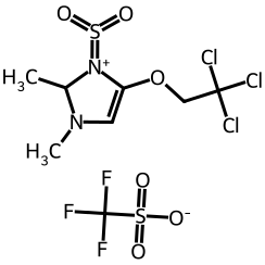 CC1N(C)C=C(OCC(Cl)(Cl)Cl)[N+]1=S(=O)=O.O=S(=O)([O-])C(F)(F)F